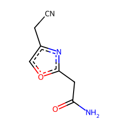 N#CCc1coc(CC(N)=O)n1